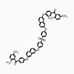 Cc1ccc(C)c(C(=O)c2ccc(Oc3ccc4ccc(Oc5ccc(S(=O)(=O)c6ccc(Oc7ccc8ccc(Oc9ccc(C(=O)c%10cc(C)ccc%10C)cc9)cc8c7)cc6)cc5)cc4c3)cc2)c1